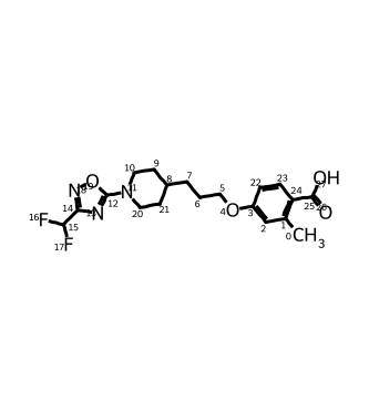 Cc1cc(OCCCC2CCN(c3nc(C(F)F)no3)CC2)ccc1C(=O)O